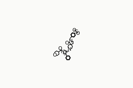 CS(=O)(=O)c1ccc(CN2CCC3(CCN(C[C@@H]4CN(C(=O)C5CCOCC5)C[C@@H]4c4ccccc4)CC3)C2=O)cc1